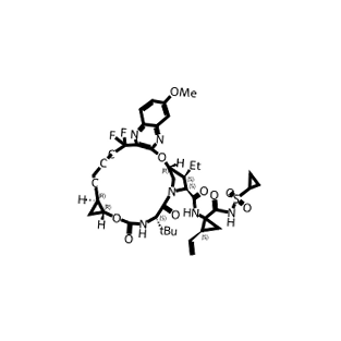 C=C[C@@H]1CC1(NC(=O)[C@@H]1[C@H](CC)[C@@H]2CN1C(=O)[C@H](C(C)(C)C)NC(=O)O[C@@H]1C[C@H]1CCCCC(F)(F)c1nc3ccc(OC)cc3nc1O2)C(=O)NS(=O)(=O)C1CC1